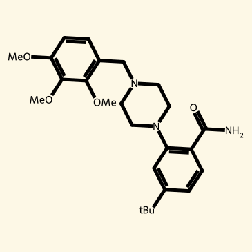 COc1ccc(CN2CCN(c3cc(C(C)(C)C)ccc3C(N)=O)CC2)c(OC)c1OC